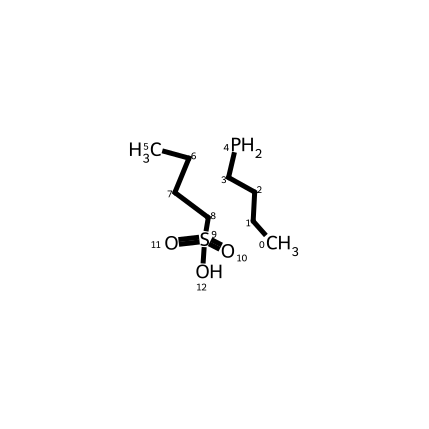 CCCCP.CCCCS(=O)(=O)O